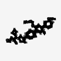 COCOc1cc(-c2ccnc(OC)c2)c(F)cc1-c1ccc(N2CC[C@H](N(C(=O)OC(C)(C)C)C3CCC3)C2)nn1